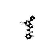 Nc1nc(-c2ccco2)c2ncn(C(=O)Nc3ccccc3Cl)c2n1